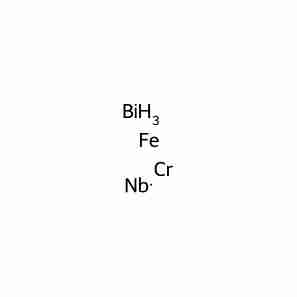 [BiH3].[Cr].[Fe].[Nb]